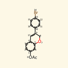 CC(=O)Oc1ccc2c(c1)OCC(c1ccc(Br)cc1)=C2